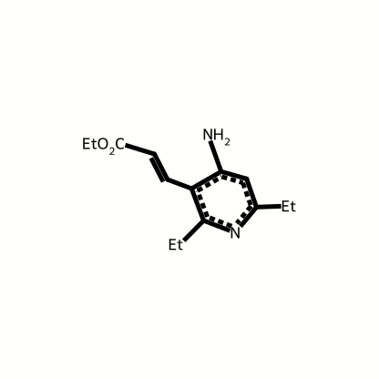 CCOC(=O)/C=C/c1c(N)cc(CC)nc1CC